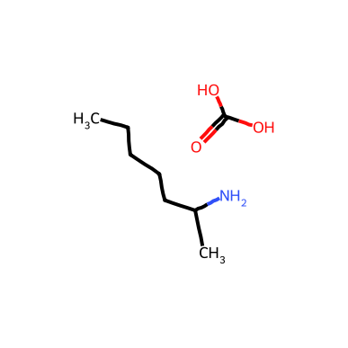 CCCCCC(C)N.O=C(O)O